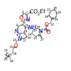 CCOC(=O)c1coc(-c2cnc3c(ccn3COCC[Si](C)(C)C)c2N[C@@H]2CC[C@H](C)N(C(=O)OCc3ccccc3)C2)n1